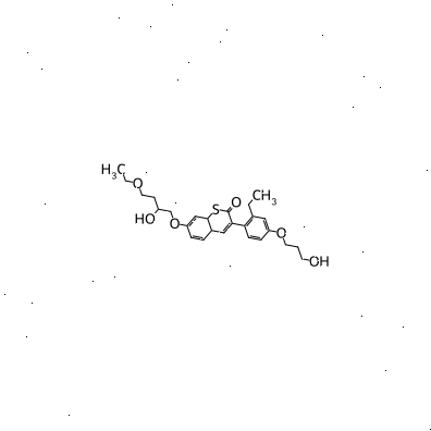 CCOCCC(O)COC1=CC2SC(=O)C(c3ccc(OCCCO)cc3CC)=CC2C=C1